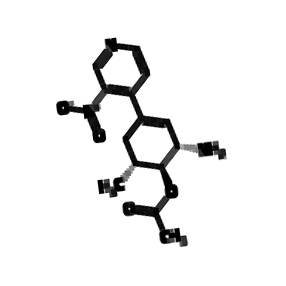 CC(=O)O[C@H]1[C@H](C)CC(c2ccncc2[N+](=O)[O-])=C[C@@H]1N